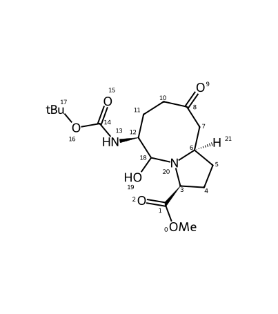 COC(=O)[C@@H]1CC[C@@H]2CC(=O)CC[C@H](NC(=O)OC(C)(C)C)C(O)N21